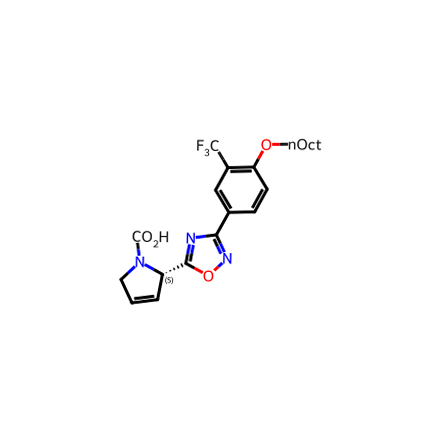 CCCCCCCCOc1ccc(-c2noc([C@@H]3C=CCN3C(=O)O)n2)cc1C(F)(F)F